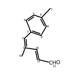 CC(=C/c1ccc(C)cc1)/C=C/C=O